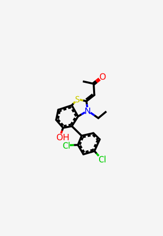 CCN1C(=CC(C)=O)Sc2ccc(O)c(-c3ccc(Cl)cc3Cl)c21